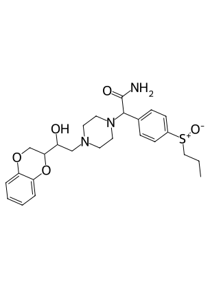 CCC[S+]([O-])c1ccc(C(C(N)=O)N2CCN(CC(O)C3COc4ccccc4O3)CC2)cc1